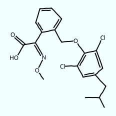 CON=C(C(=O)O)c1ccccc1COc1c(Cl)cc(CC(C)C)cc1Cl